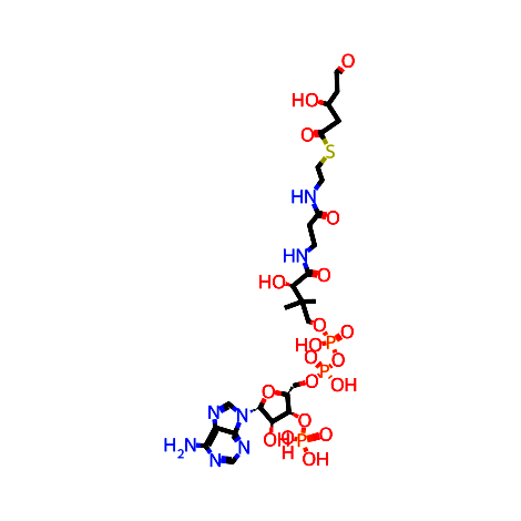 CC(C)(COP(=O)(O)OP(=O)(O)OC[C@H]1O[C@@H](n2cnc3c(N)ncnc32)[C@H](O)[C@@H]1OP(=O)(O)O)[C@@H](O)C(=O)NCCC(=O)NCCSC(=O)CC(O)CC=O